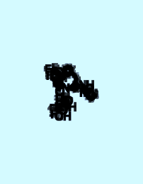 Clc1cnc2nc1Nc1ccc(Nc3nc4cccnc4o3)c(c1)CCc1cccc(c1)N2.O=C(O)C(F)(F)F.O=C(O)C(F)(F)F.O=C(O)C(F)(F)F